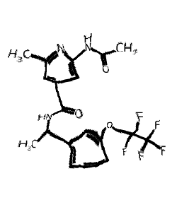 CC(=O)Nc1cc(C(=O)NC(C)c2cccc(OC(F)(F)C(F)(F)F)c2)cc(C)n1